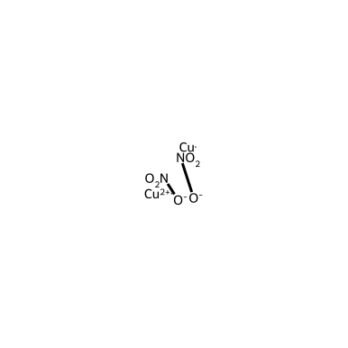 O=[N+]([O-])[O-].O=[N+]([O-])[O-].[Cu+2].[Cu]